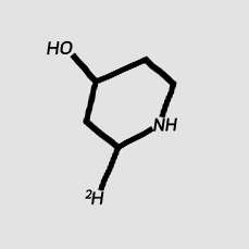 [2H]C1CC(O)CCN1